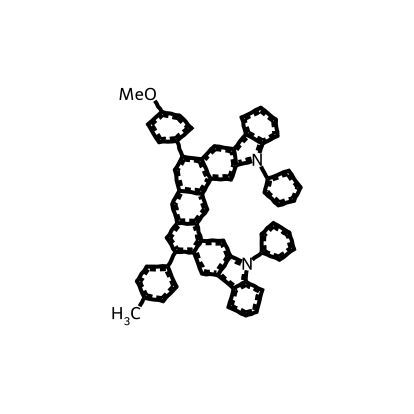 COc1ccc(-c2cc3cc4cc(-c5ccc(C)cc5)c5cc6c7ccccc7n(-c7ccccc7)c6cc5c4cc3c3cc4c(cc23)c2ccccc2n4-c2ccccc2)cc1